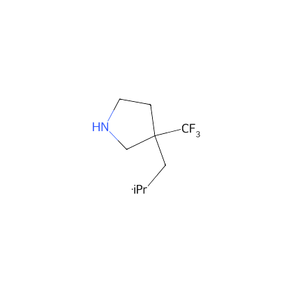 C[C](C)CC1(C(F)(F)F)CCNC1